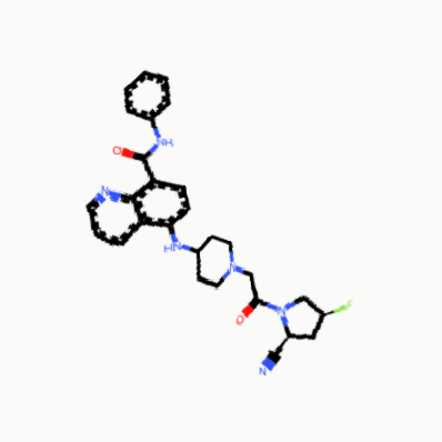 N#C[C@@H]1C[C@H](F)CN1C(=O)CN1CCC(Nc2ccc(C(=O)Nc3ccccc3)c3ncccc23)CC1